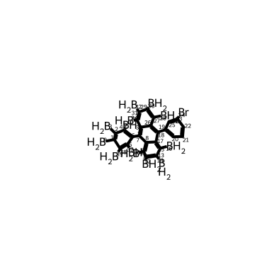 Bc1c(B)c(B)c(-c2c3c(B)c(B)c(B)c(B)c3c(-c3cccc(Br)c3)c3c(B)c(B)c(B)c(B)c23)c(B)c1B